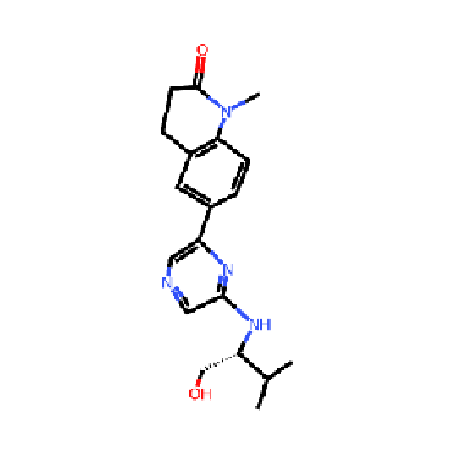 CC(C)[C@H](CO)Nc1cncc(-c2ccc3c(c2)CCC(=O)N3C)n1